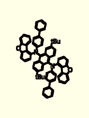 CC(C)(C)c1ccc2c(N(c3ccc(-c4ccccc4)cc3)c3cccc4oc5ccccc5c34)c3cc(C(C)(C)C)ccc3c(N(c3ccc(-c4ccccc4)cc3)c3cccc4oc5ccccc5c34)c2c1